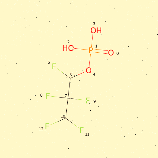 O=P(O)(O)OC(F)C(F)(F)C(F)F